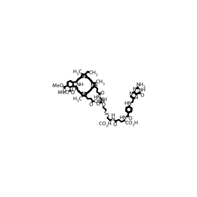 C=CC1=C(C)c2cc3[nH]c(cc4nc(cc5[nH]c(cc1n2)c(C)c5CCC(=O)NNC(=O)OCCSSCC(NC(=O)CC[C@H](NC(=O)c1ccc(NCc2cnc5nc(N)[nH]c(=O)c5n2)cc1)C(=O)O)C(=O)O)C(CCC(=O)OC)=C4C)[C@]1(C)C3=CC=C(C(=O)OC)[C@@H]1C(=O)OC